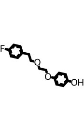 Oc1ccc(OCCOCCc2ccc(F)cc2)cc1